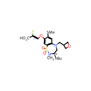 CCCC[C@@H]1CN(CC2COC2)c2cc(SC)c(O/C=C(\F)C(=O)O)cc2S(=O)(=O)N1C